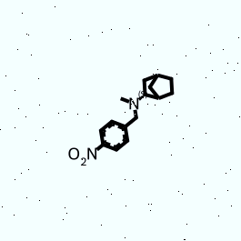 CN(Cc1ccc([N+](=O)[O-])cc1)[C@H]1CC2CCC1C2